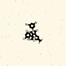 O=C1C2C3CC(=C(F)F)CN3C3(C(=O)Nc4c(Cl)cc(Cl)cc43)C2C(=O)N1c1cc(Br)cc(Br)c1